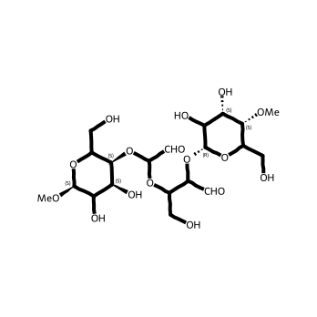 CO[C@H]1OC(CO)[C@@H](OC(C=O)OC(CO)C(C=O)O[C@H]2OC(CO)[C@@H](OC)[C@@H](O)C2O)[C@@H](O)C1O